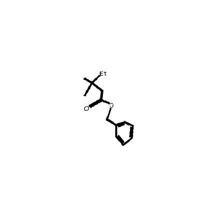 CCC(C)(C)CC(=O)OCc1ccccc1